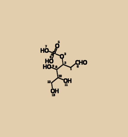 O=CCC(OP(=O)(O)O)C(O)C(O)CO